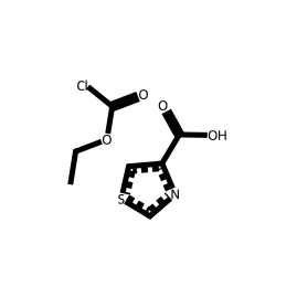 CCOC(=O)Cl.O=C(O)c1cscn1